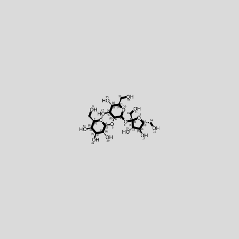 OC[C@H]1O[C@@H](O[C@H]2C(O[C@]3(CO)O[C@H](CO)[C@@H](O)[C@@H]3O)O[C@H](CO)[C@@H](O)[C@@H]2O)[C@H](O)[C@@H](O)[C@H]1O